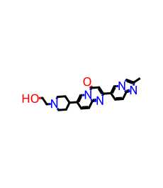 Cc1cn2cc(-c3cc(=O)n4cc(C5CCN(CCO)CC5)ccc4n3)ccc2n1